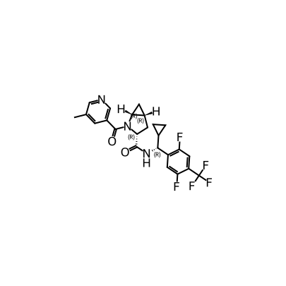 Cc1cncc(C(=O)N2[C@@H](C(=O)N[C@@H](c3cc(F)c(C(F)(F)F)cc3F)C3CC3)C[C@H]3C[C@H]32)c1